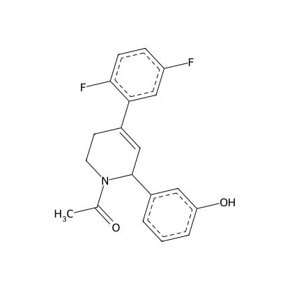 CC(=O)N1CCC(c2cc(F)ccc2F)=CC1c1cccc(O)c1